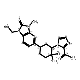 Cn1c(=O)n(CC(C)(C)C)c2ccc(C3CCC(C)(C)C(n4ccnc4C(N)=O)C3)nc21